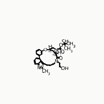 Cn1nc2cccc3c2c1CCCN(CCO)C(=O)[C@@H]1C[C@@H](CN1C(=O)OC(C)(C)C)Oc1cccc-3c1